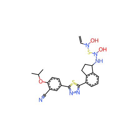 C=CN(O)SN(O)NC1CCc2c(-c3nnc(-c4ccc(OC(C)C)c(C#N)c4)s3)cccc21